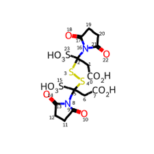 O=C(O)CC(SSC(CC(=O)O)(N1C(=O)CCC1=O)S(=O)(=O)O)(N1C(=O)CCC1=O)S(=O)(=O)O